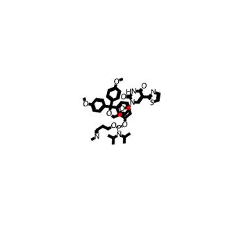 C/N=C/CCOP(OC1CC(n2cc(-c3nccs3)c(=O)[nH]c2=O)OC1COC(c1ccccc1)(c1ccc(OC)cc1)c1ccc(OC)cc1)N(C(C)C)C(C)C